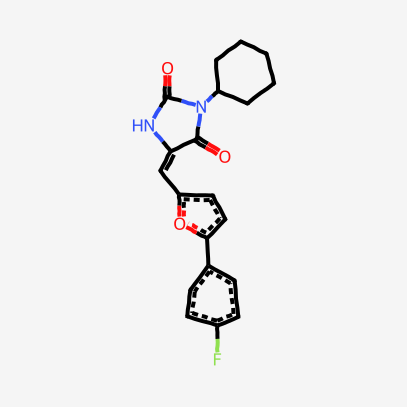 O=C1N/C(=C/c2ccc(-c3ccc(F)cc3)o2)C(=O)N1C1CCCCC1